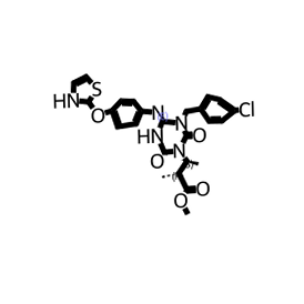 COC(=O)[C@H](C)[C@H](C)n1c(=O)[nH]/c(=N\c2ccc(OC3NC=CS3)cc2)n(Cc2ccc(Cl)cc2)c1=O